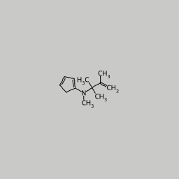 C=C(C)C(C)(C)N(C)C1=CC=CC1